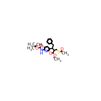 CCOC(=O)C(CSC(C)=O)C(Cc1ccccc1)c1ccc(NC(=O)OC(C)(C)C)nc1